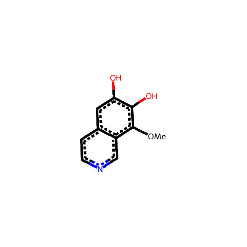 COc1c(O)c(O)cc2ccncc12